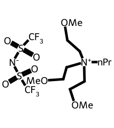 CCC[N+](CCOC)(CCOC)CCOC.O=S(=O)([N-]S(=O)(=O)C(F)(F)F)C(F)(F)F